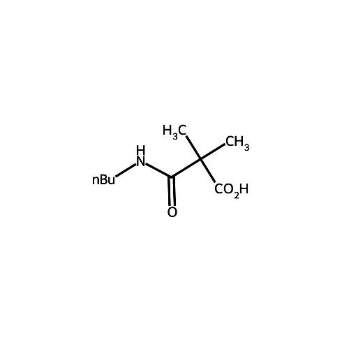 CCCCNC(=O)C(C)(C)C(=O)O